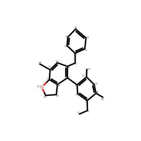 CCc1cc(-c2c(Cc3ccccc3)cc(C)c3c2CCO3)c(C)cc1C